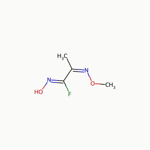 CON=C(C)C(F)=NO